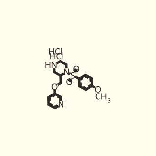 COc1ccc(S(=O)(=O)N2CCNCC2COc2cccnc2)cc1.Cl.Cl